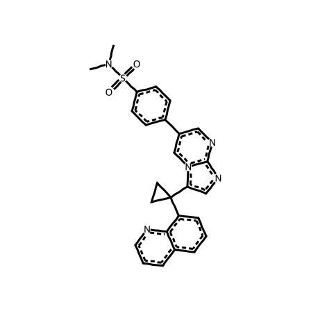 CN(C)S(=O)(=O)c1ccc(-c2cnc3ncc(C4(c5cccc6cccnc56)CC4)n3c2)cc1